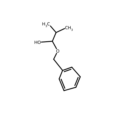 C[C](C)C(O)OCc1ccccc1